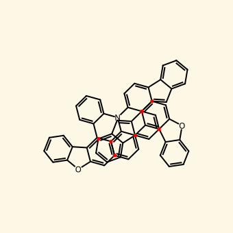 C1=CC2(C3=Cc4ccccc4C3=C1)C1=Cc3ccccc3C1=CC=C2N(c1ccccc1-c1cccc2oc3ccccc3c12)c1ccccc1-c1cccc2oc3ccccc3c12